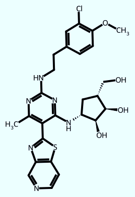 COc1ccc(CCNc2nc(C)c(-c3nc4cnccc4s3)c(N[C@@H]3C[C@H](CO)[C@@H](O)[C@H]3O)n2)cc1Cl